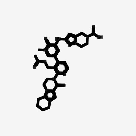 CC(=O)OCc1c(-c2cc(Nc3cc4n(n3)CCN(C(=O)O)C4)c(=O)n(C)c2)ccnc1N1CCn2c(cc3c2CCCC3)C1=O